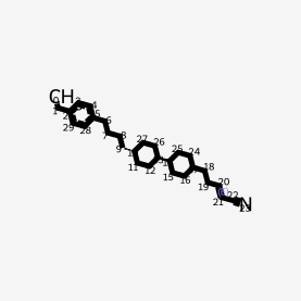 CCc1ccc(CCCC[C@H]2CC[C@H](C3CCC(CC/C=C/C#N)CC3)CC2)cc1